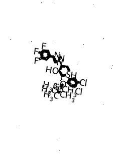 CC(C)(C)[Si](C)(C)OC[C@@H]1[C@H](O)[C@H](n2cc(-c3cc(F)c(F)c(F)c3)nn2)CC[SH]1c1ccc(Cl)c(Cl)c1